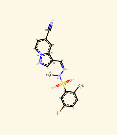 Cc1ccc(Br)cc1S(=O)(=O)N(C)/N=C\c1cnn2ccc(C#N)cc12